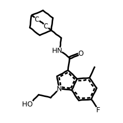 Cc1cc(F)cc2c1c(C(=O)NCC13CCC(CC1)CC3)cn2CCO